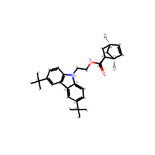 CC(C)(C)c1ccc2c(c1)c1cc(C(C)(C)C)ccc1n2CCOC(=O)C1C[C@H]2C=C[C@@H]1C2